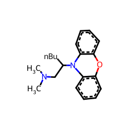 CCCCC(CN(C)C)N1c2ccccc2Oc2ccccc21